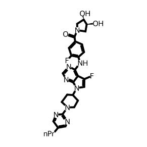 CCCc1cnc(N2CCC(n3cc(F)c4c(Nc5ccc(C(=O)N6C[C@H](O)[C@@H](O)C6)cc5F)ncnc43)CC2)nc1